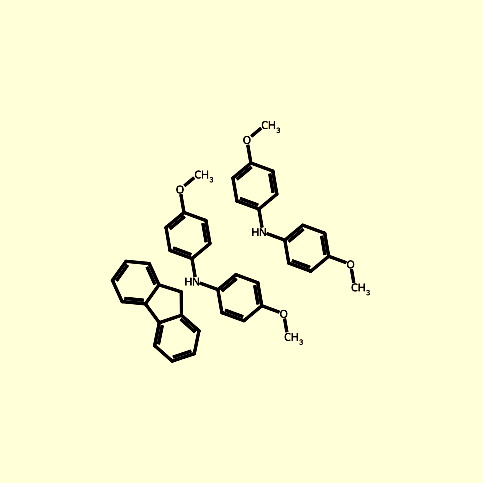 COc1ccc(Nc2ccc(OC)cc2)cc1.COc1ccc(Nc2ccc(OC)cc2)cc1.c1ccc2c(c1)Cc1ccccc1-2